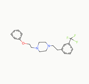 FC(F)(F)c1cccc(CCN2CCN(CCOc3ccccc3)CC2)c1